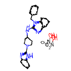 O=[N+]([O-])O.O=[N+]([O-])O.c1ccc(Cn2c(NC3CCN(c4nc5ccccc5[nH]4)CC3)nc3ccccc32)cc1